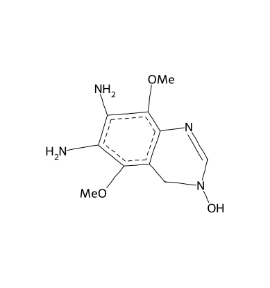 COc1c(N)c(N)c(OC)c2c1CN(O)C=N2